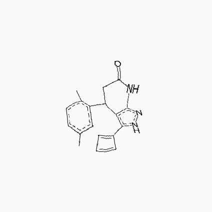 Cc1ccc(C)c(C2CC(=O)Nc3n[nH]c(C4=CC=C4)c32)c1